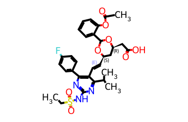 CCS(=O)(=O)Nc1nc(-c2ccc(F)cc2)c(/C=C/[C@@H]2C[C@H](CC(=O)O)OC(c3ccccc3OC(C)=O)O2)c(C(C)C)n1